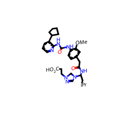 COc1cc(CC(=O)NC(CC(C)C)N2C=NN(CCC(=O)O)C2)ccc1NC(=O)Nc1ncccc1C1CCCC1